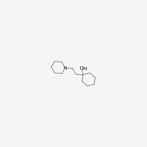 OC1(CCN2CCCCC2)CCCCC1